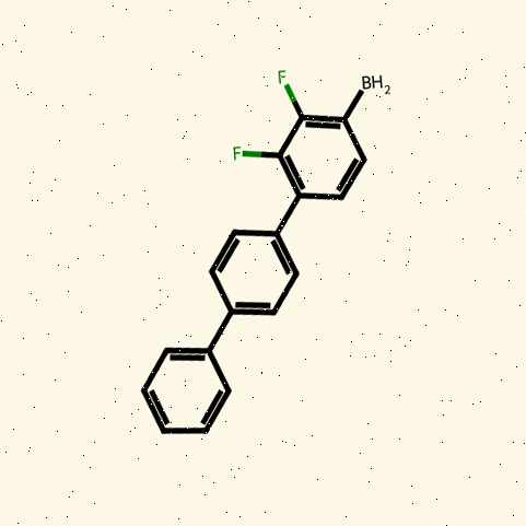 Bc1ccc(-c2ccc(-c3ccccc3)cc2)c(F)c1F